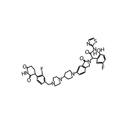 O=C1CCC(c2ccc(CN3CCN(C4CCN(c5ccc6c(c5)C(=O)N(C(C(=O)Nc5nccs5)c5cc(F)ccc5O)C6)CC4)CC3)cc2F)C(=O)N1